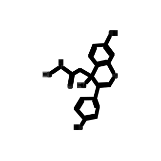 O=C(CC1(O)C(c2ccc(O)cc2)=COc2cc(O)ccc21)NO